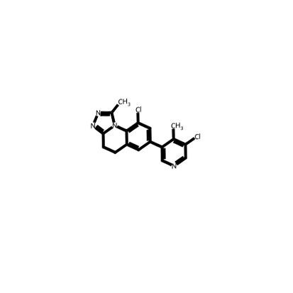 Cc1c(Cl)cncc1-c1cc(Cl)c2c(c1)CCc1nnc(C)n1-2